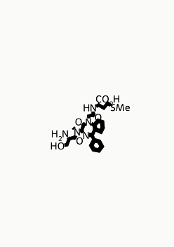 CSCC[C@H](NC(=O)CN1C(=O)C(N(C)C(=O)C(N)CO)N=C(c2ccccc2)c2ccccc21)C(=O)O